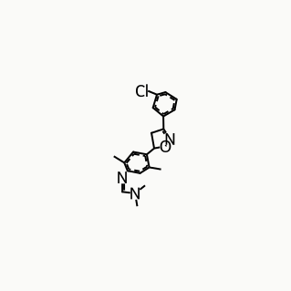 Cc1cc(C2CC(c3cccc(Cl)c3)=NO2)c(C)cc1/N=C\N(C)C